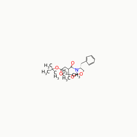 CC(C)(C)OC(=O)CC(C(=O)N1C(=O)OC[C@H]1Cc1ccccc1)C(C)(C)C